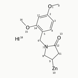 COc1ccc(CN2C[CH]([Zn])CC2=O)c(OC)c1.I